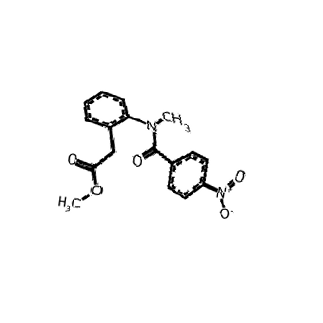 COC(=O)Cc1ccccc1N(C)C(=O)c1ccc([N+](=O)[O-])cc1